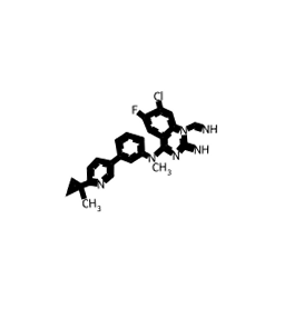 CN(c1cccc(-c2ccc(C3(C)CC3)nc2)c1)c1nc(=N)n(C=N)c2cc(Cl)c(F)cc12